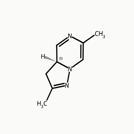 CC1=CN2N=C(C)C[C@H]2C=N1